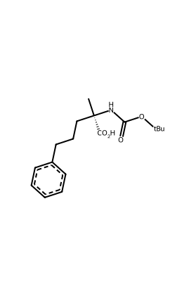 CC(C)(C)OC(=O)N[C@](C)(CCCc1ccccc1)C(=O)O